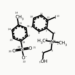 C[N+](C)(CCO)Cc1ccccc1I.Cc1ccc(S(=O)(=O)[O-])cc1